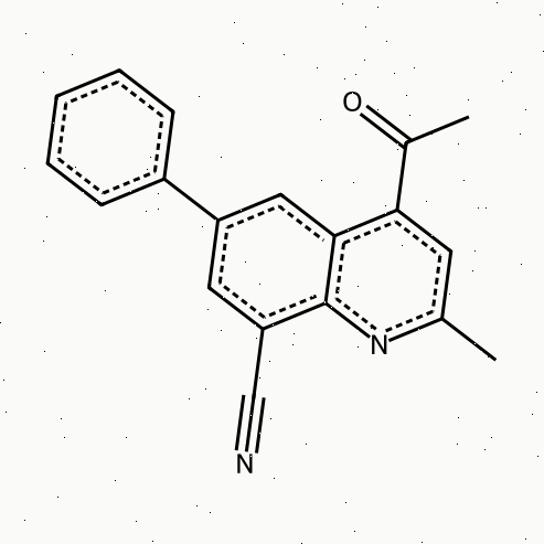 CC(=O)c1cc(C)nc2c(C#N)cc(-c3ccccc3)cc12